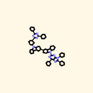 c1ccc(-c2nc(-c3ccccc3)nc(-c3cccc(-n4c5ccccc5c5cc(-c6ccc7c(c6)c6ccccc6n7-c6nc(-c7ccccc7)c7nc(-c8ccccc8)n(-c8ccccc8)c7n6)ccc54)c3)n2)cc1